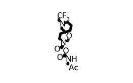 CC(=O)CNC(=O)OC(=O)N1CCC2(CCCN(CC(F)(F)F)C2)OC1